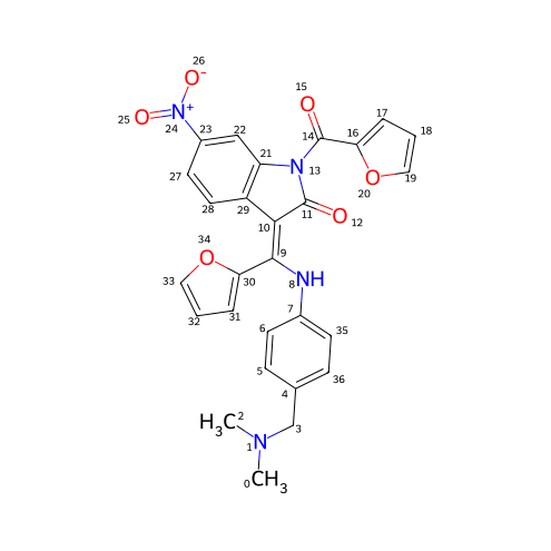 CN(C)Cc1ccc(N/C(=C2\C(=O)N(C(=O)c3ccco3)c3cc([N+](=O)[O-])ccc32)c2ccco2)cc1